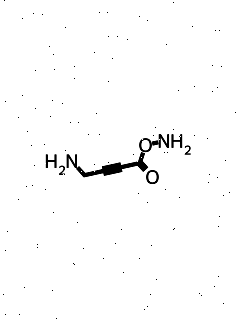 NCC#CC(=O)ON